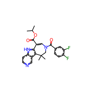 CC(C)OC(=O)C1=CN(C(=O)c2ccc(F)c(F)c2)CC(C)(C)c2c1[nH]c1ccncc21